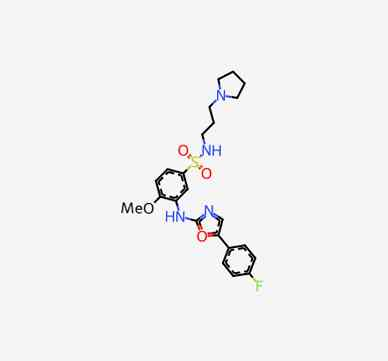 COc1ccc(S(=O)(=O)NCCCN2CCCC2)cc1Nc1ncc(-c2ccc(F)cc2)o1